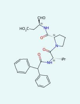 CC(C)[C@H](NC(=O)C(c1ccccc1)c1ccccc1)C(=O)N1CCC[C@H]1C(=O)N[C@H](C=O)CC(=O)O